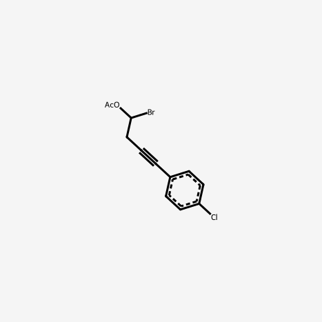 CC(=O)OC(Br)CC#Cc1ccc(Cl)cc1